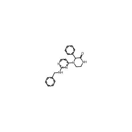 O=C1NCCN(c2ccnc(NCc3ccccc3)n2)C1c1ccccc1